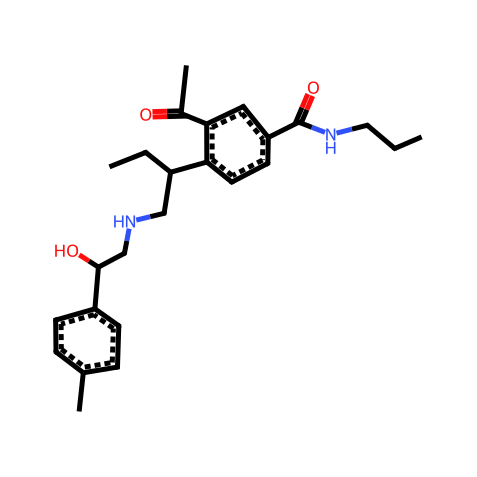 CCCNC(=O)c1ccc(C(CC)CNCC(O)c2ccc(C)cc2)c(C(C)=O)c1